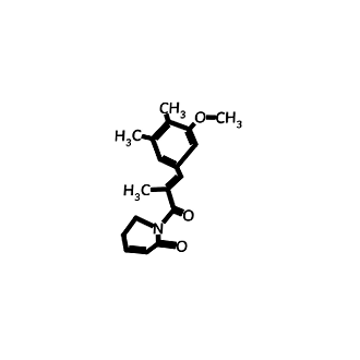 COc1cc(/C=C(\C)C(=O)N2CCC=CC2=O)cc(C)c1C